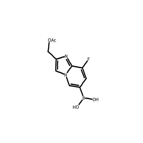 CC(=O)OCc1cn2cc(B(O)O)cc(F)c2n1